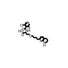 O=C(NC(CCOCCCCc1ccc2c(n1)NCCC2)C(=O)O)c1c(F)cncc1Cl